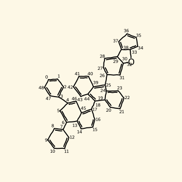 c1ccc(-c2cc(-c3ccccc3)c3cccc(-c4c5ccccc5c(-c5ccc6c(c5)oc5ccccc56)c5ccccc45)c3c2)cc1